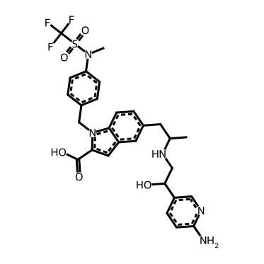 CC(Cc1ccc2c(c1)cc(C(=O)O)n2Cc1ccc(N(C)S(=O)(=O)C(F)(F)F)cc1)NCC(O)c1ccc(N)nc1